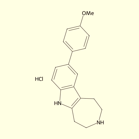 COc1ccc(-c2ccc3[nH]c4c(c3c2)CCNCC4)cc1.Cl